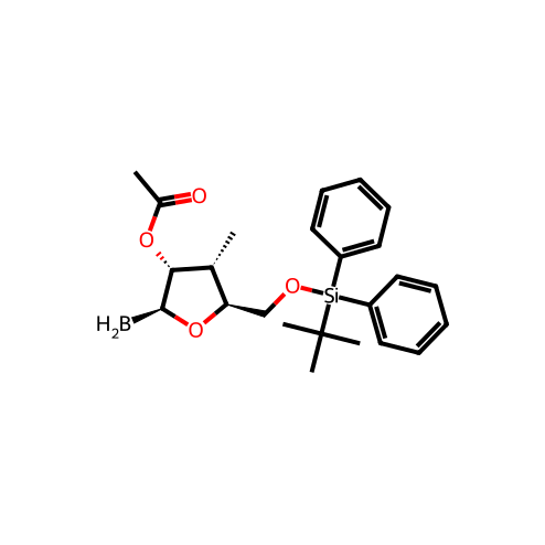 B[C@@H]1O[C@H](CO[Si](c2ccccc2)(c2ccccc2)C(C)(C)C)[C@@H](C)[C@H]1OC(C)=O